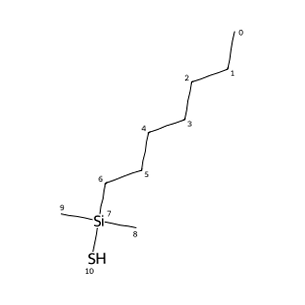 CCCCCCC[Si](C)(C)S